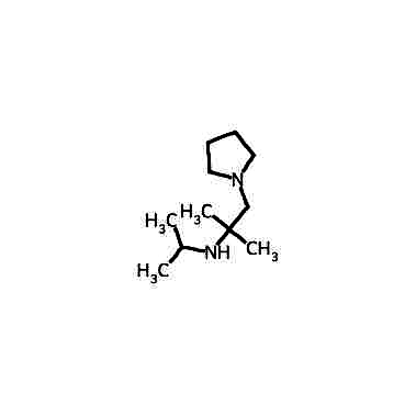 CC(C)NC(C)(C)CN1CCCC1